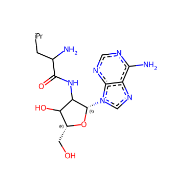 CC(C)CC(N)C(=O)NC1C(O)[C@@H](CO)O[C@H]1n1cnc2c(N)ncnc21